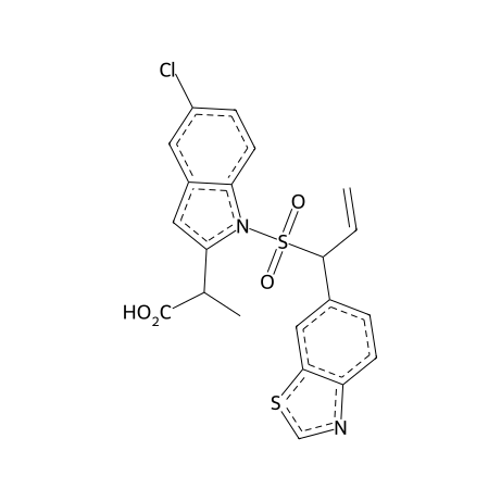 C=CC(c1ccc2ncsc2c1)S(=O)(=O)n1c(C(C)C(=O)O)cc2cc(Cl)ccc21